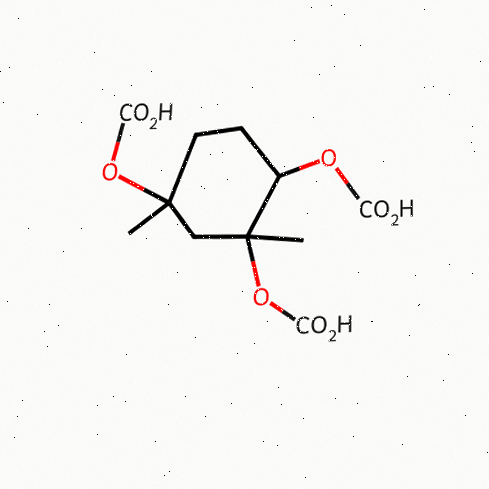 CC1(OC(=O)O)CCC(OC(=O)O)C(C)(OC(=O)O)C1